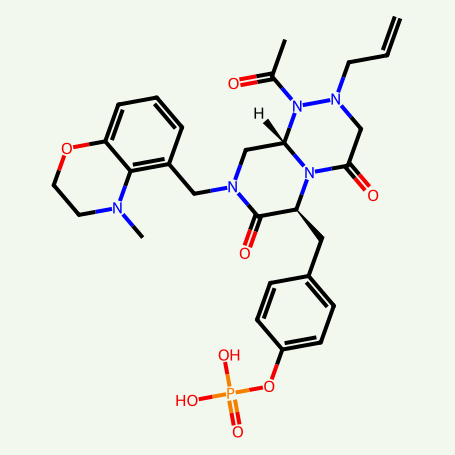 C=CCN1CC(=O)N2[C@@H](Cc3ccc(OP(=O)(O)O)cc3)C(=O)N(Cc3cccc4c3N(C)CCO4)C[C@@H]2N1C(C)=O